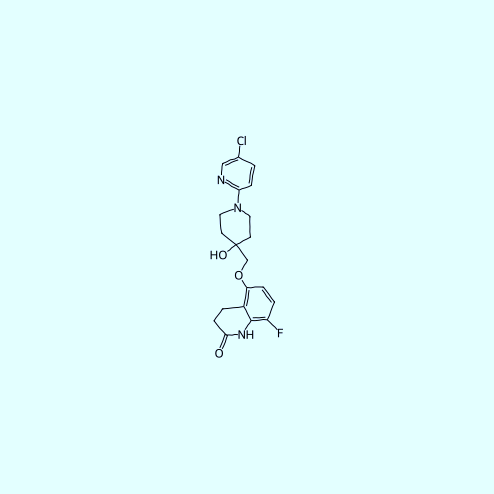 O=C1CCc2c(OCC3(O)CCN(c4ccc(Cl)cn4)CC3)ccc(F)c2N1